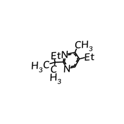 CCc1cnc(C(C)(C)CC)nc1C